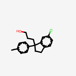 Cc1ccc(C2(CCCO)CCc3ccc(Cl)cc32)cc1